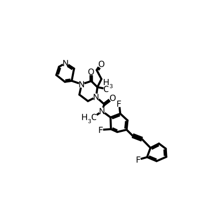 CN(C(=O)N1CCN(c2cccnc2)C(=O)C1(C)CC=O)c1c(F)cc(C#Cc2ccccc2F)cc1F